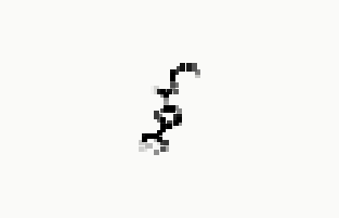 CCOC(=O)c1nc(C(=O)CC)cs1